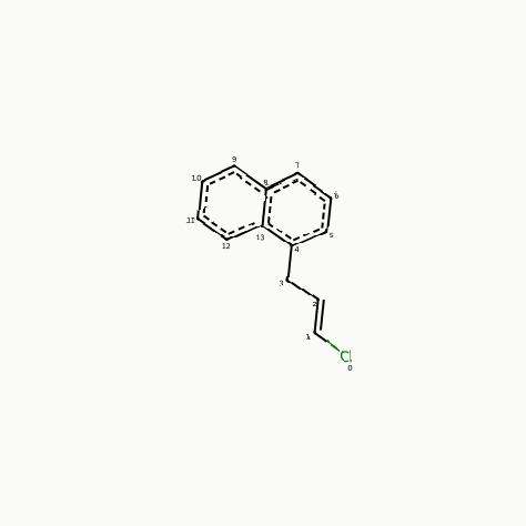 ClC=CCc1cccc2ccccc12